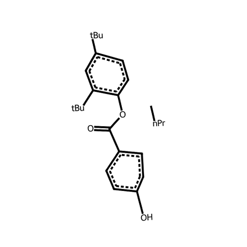 CC(C)(C)c1ccc(OC(=O)c2ccc(O)cc2)c(C(C)(C)C)c1.CCCC